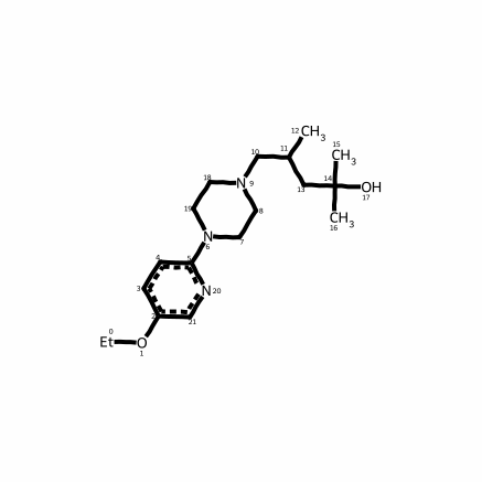 CCOc1ccc(N2CCN(CC(C)CC(C)(C)O)CC2)nc1